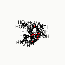 CN[C@H](CC(C)C)C(=O)N[C@H]1C(=O)N[C@@H](CC(N)=O)C(=O)N[C@H]2C(=O)N[C@H]3C(=O)N[C@H](C(=O)N[C@@H](C(=O)O)c4cc(O)cc(O)c4-c4cc3ccc4O)[C@H](O)c3ccc(c(Cl)c3)Oc3cc2cc(c3O[C@@H]2O[C@H](CO)[C@@H](O)[C@H](O)[C@H]2O[C@H]2C[C@](C)(N)C(O)[C@H](C)O2)Oc2ccc(cc2Cl)[C@H]1O.O=P(O)(O)O.OC[C@H]1O[C@H](O)[C@H](O)[C@@H](O)[C@H]1O